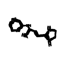 N=C(C=CC1NCCN1)Nc1cnccn1